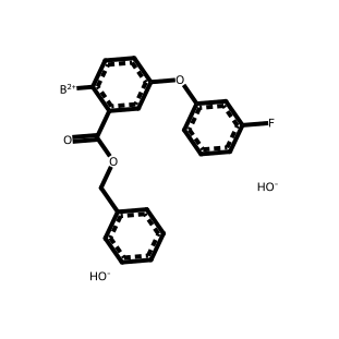 [B+2]c1ccc(Oc2cccc(F)c2)cc1C(=O)OCc1ccccc1.[OH-].[OH-]